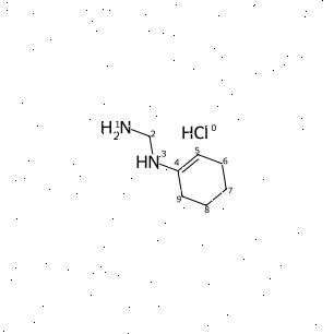 Cl.NCNC1=CCCCC1